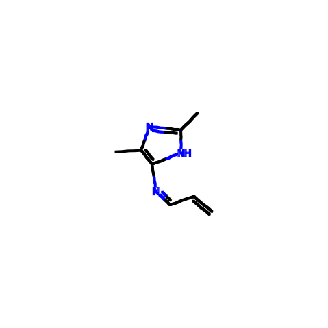 C=C/C=N\c1[nH]c(C)nc1C